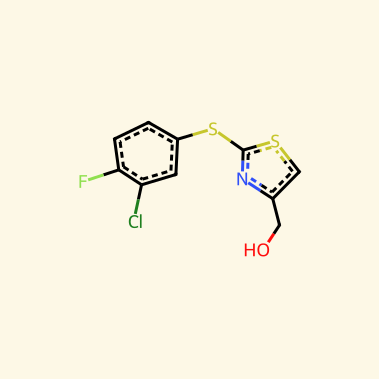 OCc1csc(Sc2ccc(F)c(Cl)c2)n1